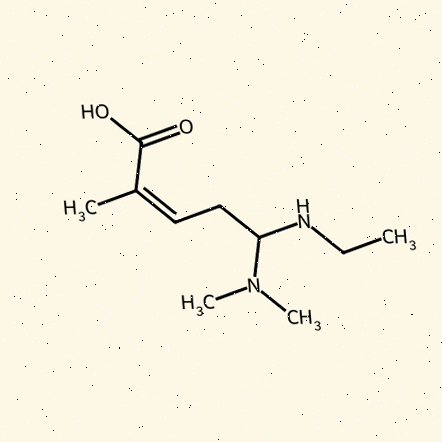 CCNC(CC=C(C)C(=O)O)N(C)C